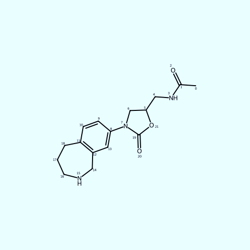 CC(=O)NCC1CN(c2ccc3c(c2)CNCCC3)C(=O)O1